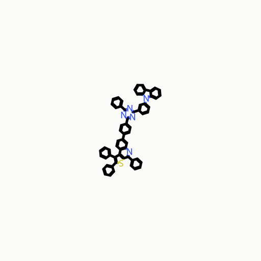 c1ccc(-c2nc(-c3ccc(-c4ccc5c(c4)nc(-c4ccccc4)c4sc(-c6ccccc6)c(-c6ccccc6)c45)cc3)nc(-c3cccc(-n4c5ccccc5c5ccccc54)c3)n2)cc1